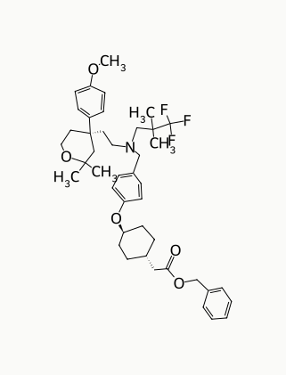 COc1ccc([C@]2(CCN(Cc3ccc(O[C@H]4CC[C@H](CC(=O)OCc5ccccc5)CC4)cc3)CC(C)(C)C(F)(F)F)CCOC(C)(C)C2)cc1